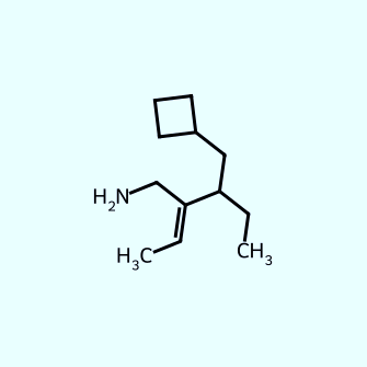 C/C=C(\CN)C(CC)CC1CCC1